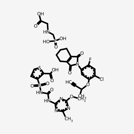 C#CC(C)Oc1cc(N2C(=O)C3=C(CCCC3)C2=O)c(F)cc1Cl.COc1nc(C)nc(NC(=O)NS(=O)(=O)c2ccsc2C(=O)O)n1.O=C(O)CNCP(=O)(O)O